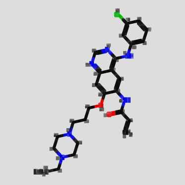 C=CC(=O)Nc1cc2c(Nc3cccc(Cl)c3)ncnc2cc1OCCCN1CCN(CC(=O)OCC)CC1